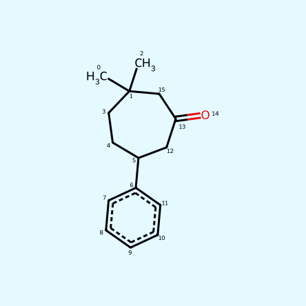 CC1(C)CCC(c2ccccc2)CC(=O)C1